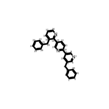 c1ccc(Cc2cncc(-c3ccc(-c4ncccc4Cc4ccccc4)cn3)c2)cc1